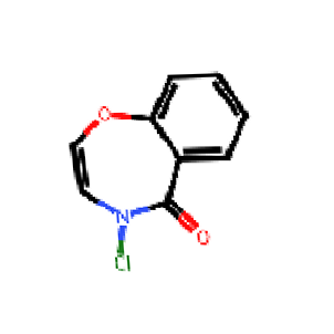 O=C1c2ccccc2OC=CN1Cl